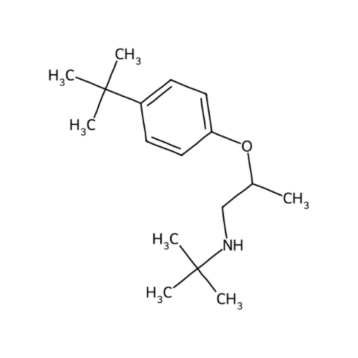 CC(CNC(C)(C)C)Oc1ccc(C(C)(C)C)cc1